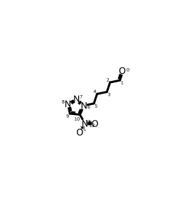 O=CCCCCn1nncc1[N+](=O)[O-]